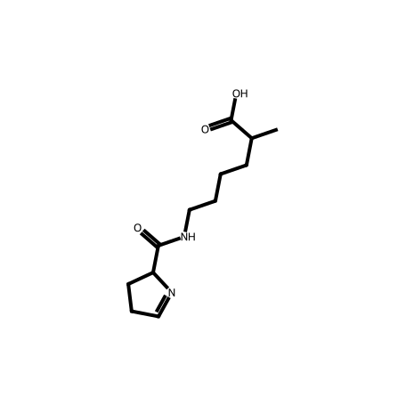 CC(CCCCNC(=O)C1CCC=N1)C(=O)O